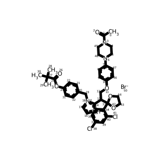 CC(=O)N1CCN(c2ccc(OCC(c3[nH]cc[n+]3Cc3ccc(OC(=O)C(C)(C)C)cc3)C3(c4ccc(Cl)cc4Cl)OCCO3)cc2)CC1.[Br-]